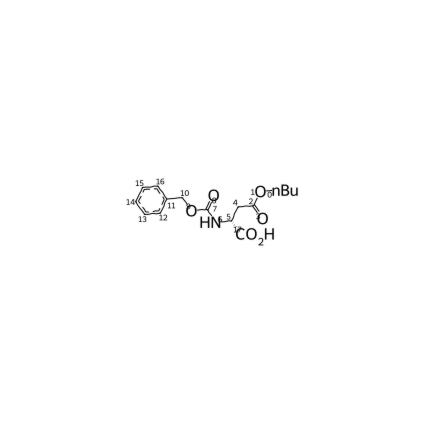 CCCCOC(=O)C[C@@H](NC(=O)OCc1ccccc1)C(=O)O